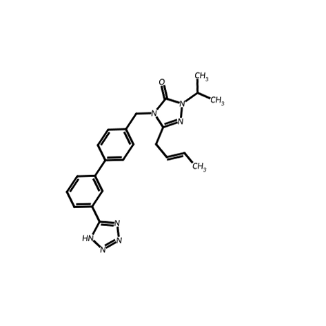 C/C=C/Cc1nn(C(C)C)c(=O)n1Cc1ccc(-c2cccc(-c3nnn[nH]3)c2)cc1